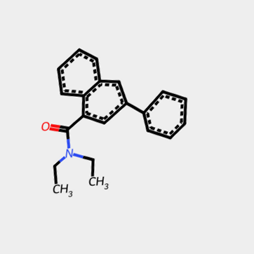 CCN(CC)C(=O)c1cc(-c2ccccc2)cc2ccccc12